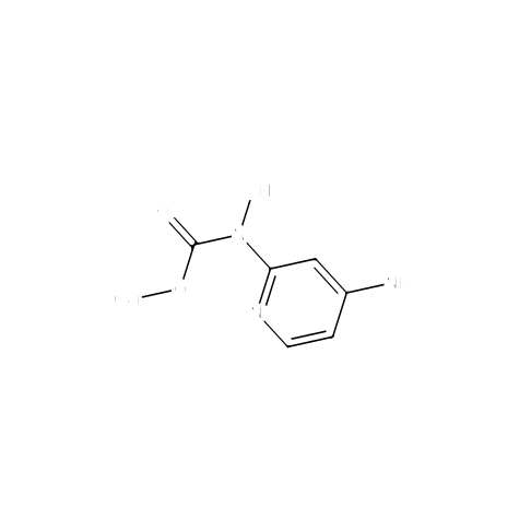 CN(C(=O)OC(C)(C)C)c1cc(N)ccn1